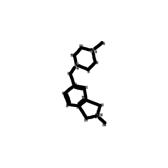 CN1CCN(Cc2ccc3c(c2)CN(C)C3)CC1